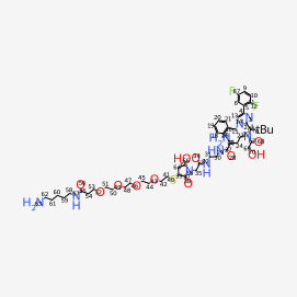 CC(C)(C)[C@H](c1nc(-c2cc(F)ccc2F)cn1Cc1ccccc1)N(CC[C@H](N)C(=O)NCCNC(=O)CN1C(=O)C(SCCOCCOCCOCCOCCC(=O)NCCCCCN)CC1O)C(=O)CO